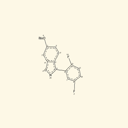 COc1ccc2c(-c3cc(F)ccc3F)noc2c1